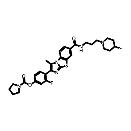 Cc1c(-c2ccc(OC(=O)N3CCCC3)cc2F)nc2sc3cc(C(=O)NCCCN4CCC(F)CC4)ccc3n12